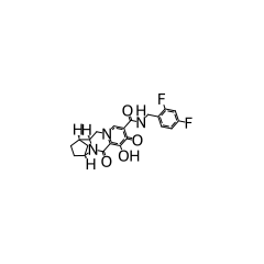 O=C(NCc1ccc(F)cc1F)c1cn2c(c(O)c1=O)C(=O)N1[C@@H]3CC[C@@H](C3)[C@@H]1C2